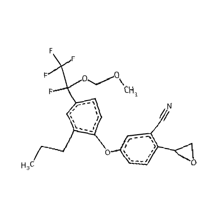 CCCc1cc(C(F)(OCOC)C(F)(F)F)ccc1Oc1ccc(C2CO2)c(C#N)c1